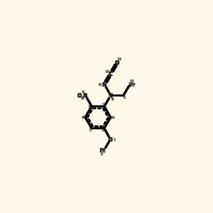 CCOc1ccc([N+](=O)[O-])c(N(CC(C)C)N=C=O)c1